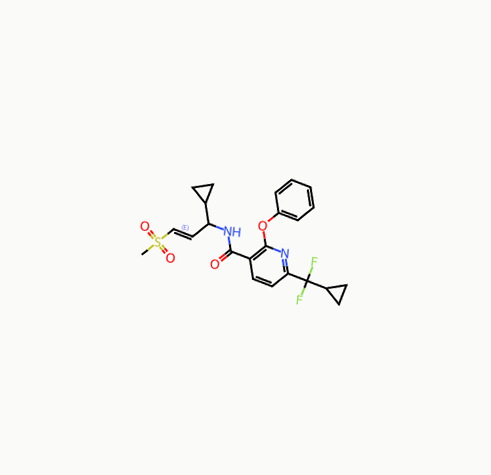 CS(=O)(=O)/C=C/C(NC(=O)c1ccc(C(F)(F)C2CC2)nc1Oc1ccccc1)C1CC1